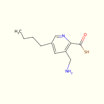 CCCCc1cnc(C(=O)S)c(CN)c1